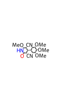 COc1cc(-c2c(C#N)c(OC)[nH]c(=O)c2C#N)cc(OC)c1OC